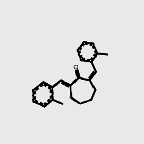 Cc1ccccc1/C=C1/CCCC/C(=C\c2ccccc2C)C1=O